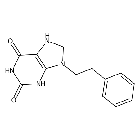 O=c1[nH]c2c(c(=O)[nH]1)NCN2CCc1ccccc1